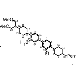 CCCCCC1CCC(c2ccc(-c3ccc(C4CCC(C(COC)COC)CC4)c(C)c3)cc2CC)CC1